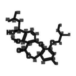 CCC(C)COc1cc(C)cc2c1Oc1ccc([C@@H](O)CC(C)C)c(OC)c1C(=O)OC2